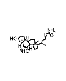 CC[C@H]1[C@@H](O)C2[C@@H]3CC[C@H]([C@H](C)CCOC(N)=O)[C@@]3(C)CC[C@@H]2[C@@]2(C)CC[C@@H](O)C[C@@H]12